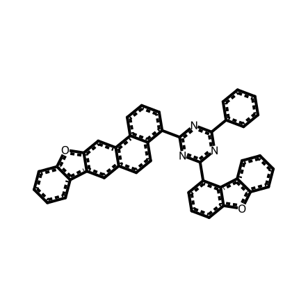 c1ccc(-c2nc(-c3cccc4c3ccc3cc5c(cc34)oc3ccccc35)nc(-c3cccc4oc5ccccc5c34)n2)cc1